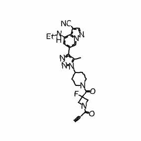 C#CC(=O)N1CC(F)(C(=O)N2CCC(n3nnc(-c4cc(NCC)c5c(C#N)cnn5c4)c3C)CC2)C1